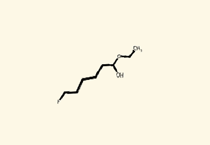 CCOC(O)CCCCCF